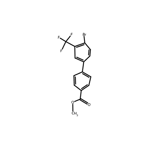 COC(=O)c1ccc(-c2ccc(Br)c(C(F)(F)F)c2)cc1